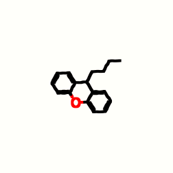 CCCCC1c2ccccc2Oc2ccccc21